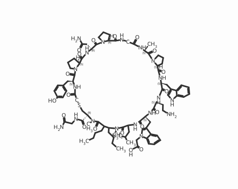 CCCCC1C(=O)N(C)[C@H](C(=O)NCC(N)=O)CSCC(=O)N[C@@H](Cc2ccc(O)cc2)C(=O)N2CCC[C@H]2C(=O)N[C@H](CC(N)=O)C(=O)N2CCC[C@@H]2C(=O)NCC(=O)N[C@@H](C)C(=O)N2CCC[C@H]2C(=O)N[C@@H](Cc2c[nH]c3ccccc23)C(=O)N[C@@H](CCN)C(=O)N[C@@H](Cc2cn(CC(=O)O)c3ccccc23)C(=O)NC(CC(C)C)C(=O)N(C)C1CCCC